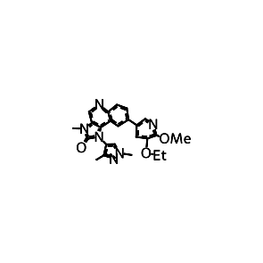 CCOc1cc(-c2ccc3ncc4c(c3c2)n(-c2cn(C)nc2C)c(=O)n4C)cnc1OC